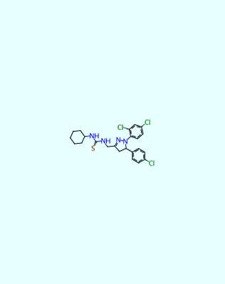 S=C(NCC1=NN(c2ccc(Cl)cc2Cl)C(c2ccc(Cl)cc2)C1)NC1CCCCC1